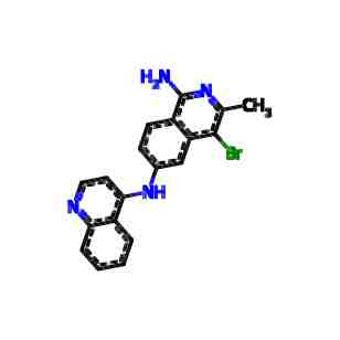 Cc1nc(N)c2ccc(Nc3ccnc4ccccc34)cc2c1Br